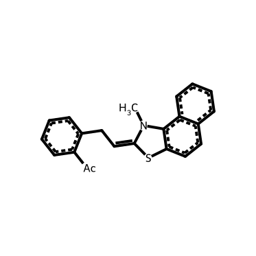 CC(=O)c1ccccc1C/C=C1/Sc2ccc3ccccc3c2N1C